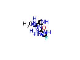 CN1CCC(C2CCNCC2NC(=O)C2C(N)NN3CC(F)CNC23)N1